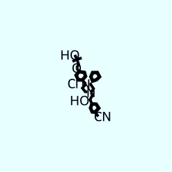 CC(C)(O)COc1ccc(N2CCN(C[C@@H](O)c3ccc(C#N)cc3)C[C@H]2c2ccccc2)c(Cl)c1